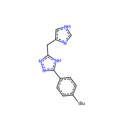 CC(C)(C)c1ccc(-c2nnc(Cc3c[nH]cn3)[nH]2)cc1